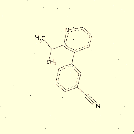 CC(C)c1ncccc1-c1cccc(C#N)c1